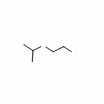 CC(C)OCC[SiH3]